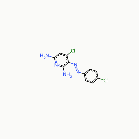 Nc1cc(Cl)c(/N=N/c2ccc(Cl)cc2)c(N)n1